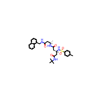 Cc1ccc(S(=O)(=O)N[C@H](CC(=O)N[C@@H](C)CC(=O)NCc2cccc3ccccc23)CC(=O)NC(C)(C)C)cc1